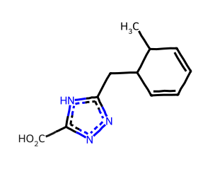 CC1C=CC=CC1Cc1nnc(C(=O)O)[nH]1